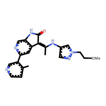 COCCn1cc(N/C(C)=C2\C(=O)Nc3cnc(-c4cnccc4C)cc32)cn1